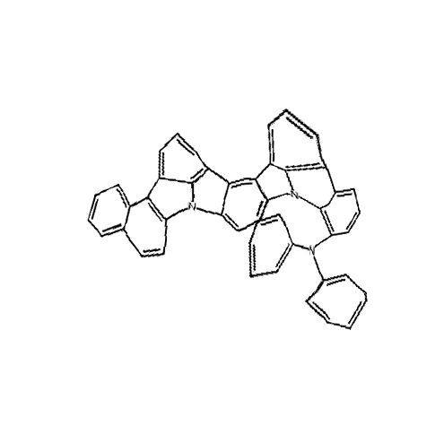 c1ccc(N(c2ccccc2)c2cccc3c4cccc5c6c7c8cccc9c%10c%11ccccc%11ccc%10n(c7ccc6n(c23)c45)c98)cc1